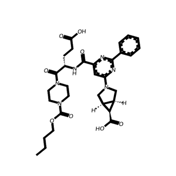 CCCCOC(=O)N1CCN(C(=O)[C@H](CCC(=O)O)NC(=O)c2cc(N3C[C@@H]4[C@H](C3)[C@@H]4C(=O)O)nc(-c3ccccc3)n2)CC1